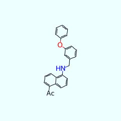 CC(=O)c1cccc2c(NCc3cccc(Oc4ccccc4)c3)cccc12